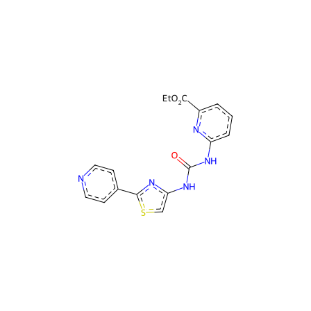 CCOC(=O)c1cccc(NC(=O)Nc2csc(-c3ccncc3)n2)n1